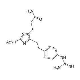 CC(=O)Nc1nc(CCc2ccc(NC(=N)N)cc2)c(CCC(N)=O)s1